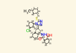 Cc1cccc(CSc2nnc(C(CCNC(=O)c3ccccc3O)Cc3ccccc3)n2-c2cccc(Cl)c2)c1